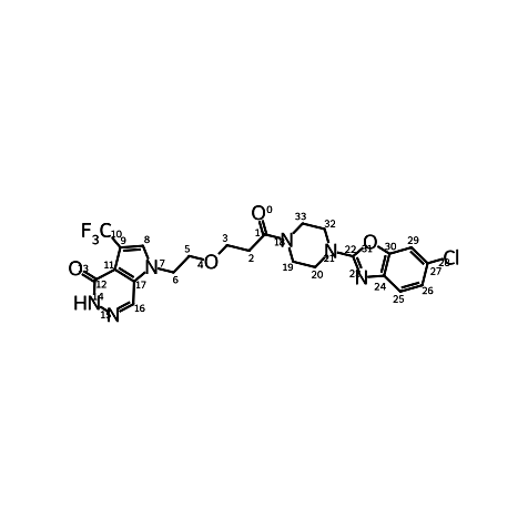 O=C(CCOCCn1cc(C(F)(F)F)c2c(=O)[nH]ncc21)N1CCN(c2nc3ccc(Cl)cc3o2)CC1